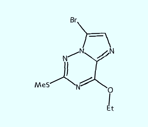 CCOc1nc(SC)nn2c(Br)cnc12